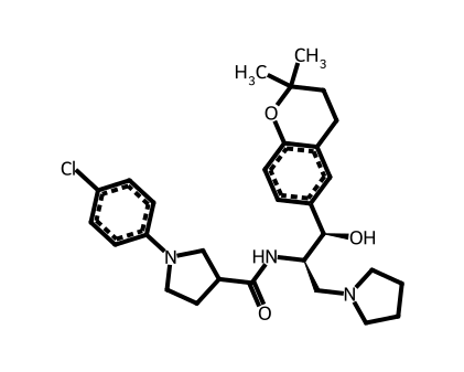 CC1(C)CCc2cc([C@@H](O)[C@@H](CN3CCCC3)NC(=O)C3CCN(c4ccc(Cl)cc4)C3)ccc2O1